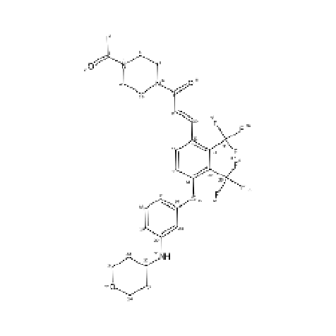 CC(=O)N1CCN(C(=O)C=Cc2ccc(Sc3cccc(NC4CCOCC4)c3)c(C(F)(F)F)c2C(F)(F)F)CC1